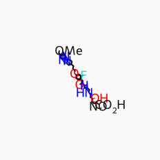 COCc1cnc(N2CCC(CCCOc3ccc(CC(=O)N4CC(CNCC[C@@H](O)C[C@H](CC(=O)O)N=O)C4)c(F)c3)CC2)nc1